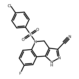 N#Cc1n[nH]c2c1CN(S(=O)(=O)c1ccc(Cl)cc1)c1ccc(F)cc1-2